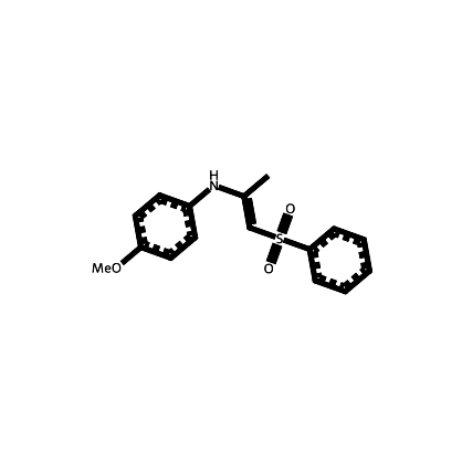 COc1ccc(NC(C)=CS(=O)(=O)c2ccccc2)cc1